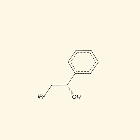 CC(C)C[C@@H](O)c1ccccc1